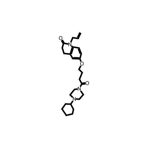 C=CCN1C(=O)CCc2cc(OCCCC(=O)N3CCN(C4CCCCC4)CC3)ccc21